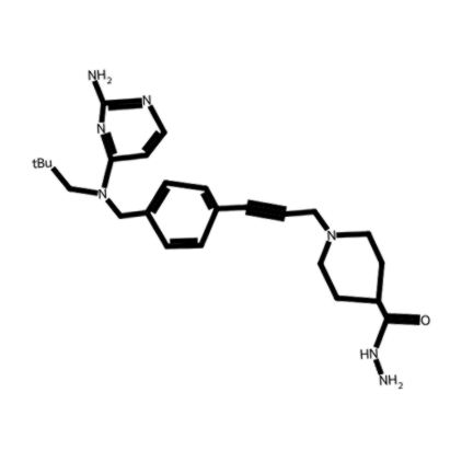 CC(C)(C)CN(Cc1ccc(C#CCN2CCC(C(=O)NN)CC2)cc1)c1ccnc(N)n1